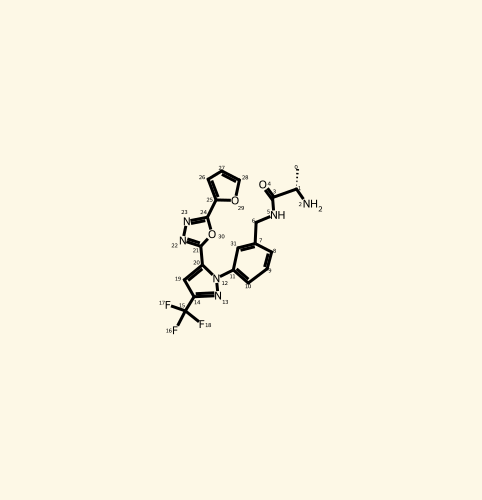 C[C@H](N)C(=O)NCc1cccc(-n2nc(C(F)(F)F)cc2-c2nnc(-c3ccco3)o2)c1